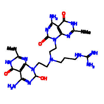 CNc1nc2c(c(=O)[nH]1)C(N)=NC(O)N2CCN(CCCNC(=N)N)CCn1c(=O)nc(N)c2c(=O)[nH]c(NC)nc21